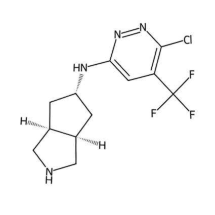 FC(F)(F)c1cc(N[C@@H]2C[C@H]3CNC[C@H]3C2)nnc1Cl